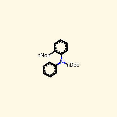 CCCCCCCCCCN(c1ccccc1)c1ccccc1CCCCCCCCC